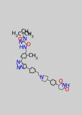 Cc1cc(-c2ncnn3cc(-c4ccc(CCN5CCC(c6ccc([C@@H]7CCC(=O)NC7=O)cc6)CC5)cc4)cc23)ccc1CNC(=O)c1noc(C(C)(C)C)n1